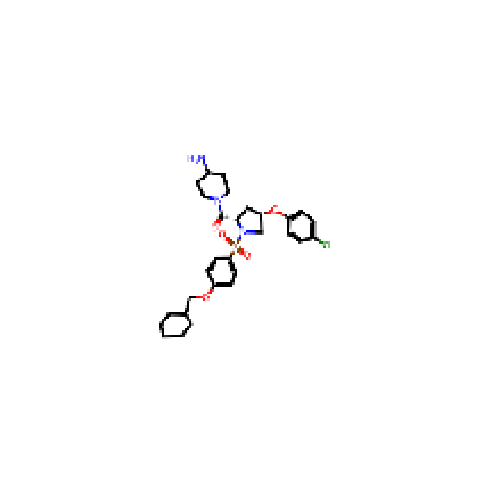 NC1CCN(C(=O)[C@@H]2C[C@@H](Oc3ccc(Cl)cc3)CN2S(=O)(=O)c2ccc(OCC3CCCCC3)cc2)CC1